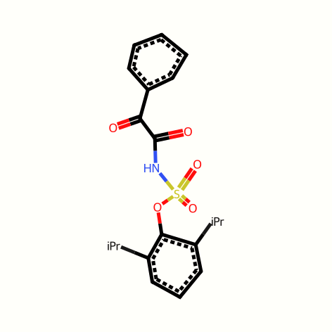 CC(C)c1cccc(C(C)C)c1OS(=O)(=O)NC(=O)C(=O)c1ccccc1